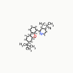 [2H]C(C)(C)c1ccnc(-c2cccc3c2oc2cc(C(C)(C)C)ccc23)c1